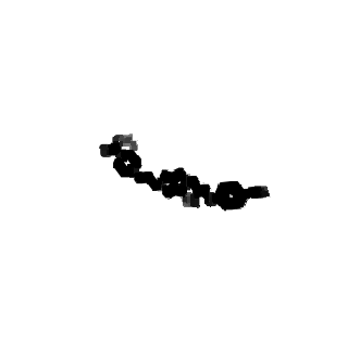 CC(=O)N1CCN(CCCN2CC3CN(C[C@H](O)COc4ccc(C#N)cc4)CC3C2)CC1